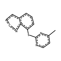 Cc1ccnc(Sc2cccc3cccnc23)n1